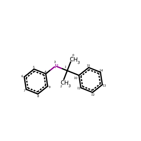 CC(C)([I+]c1ccccc1)c1ccccc1